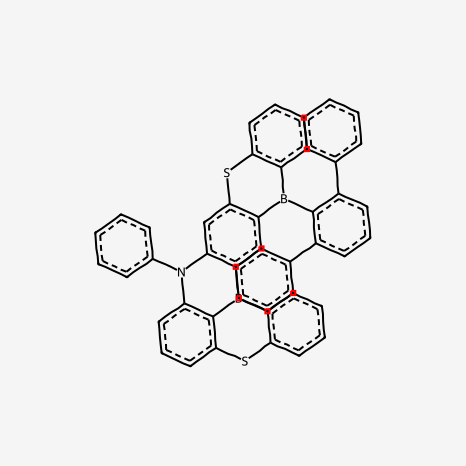 c1ccc(-c2cccc(-c3ccccc3)c2B2c3ccccc3Sc3cc4c(cc32)B2c3ccccc3Sc3cccc(c32)N4c2ccccc2)cc1